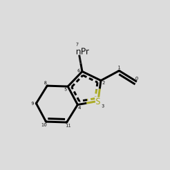 C=Cc1sc2c(c1CCC)CCC=C2